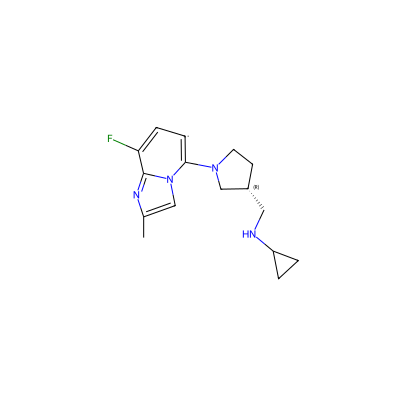 Cc1cn2c(N3CC[C@H](CNC4CC4)C3)[c]cc(F)c2n1